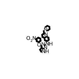 O=[N+]([O-])c1cccc(Oc2nc(Nc3ccc4nc(CN5CCCCC5)ccc4c3)nc3[nH]ccc23)c1